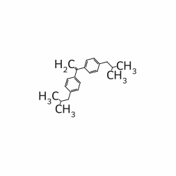 C=C(c1ccc(CC(C)C)cc1)c1ccc(CC(C)C)cc1